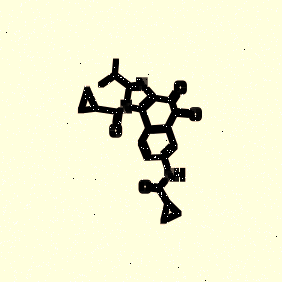 CC(C)c1nc2c(n1C(=O)C1CC1)-c1ccc(NC(=O)C3CC3)cc1C(=O)C2=O